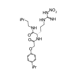 CC(C)CCNC(=O)[C@H](CCCNC(=N)N[N+](=O)[O-])NC(=O)COc1ccc(C(C)C)cc1